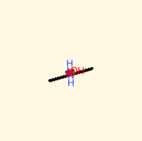 CCCCCCCCCCCCCCCC(=O)NC(=O)CCCCCCCCCCCCCCC.CCCNCCO